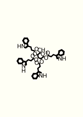 CC1OC(OC(=O)CCc2c[nH]c3ccccc23)C(OC(=O)CCc2c[nH]c3ccccc23)C(OC(=O)CCc2c[nH]c3ccccc23)C1OC(=O)CCc1c[nH]c2ccccc12